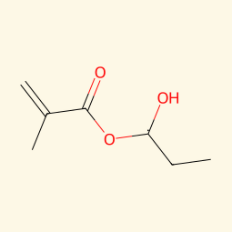 C=C(C)C(=O)O[C](O)CC